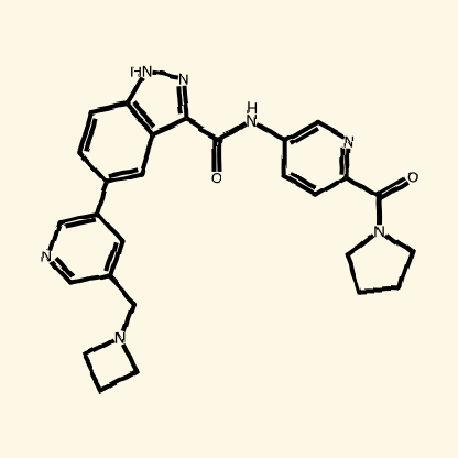 O=C(Nc1ccc(C(=O)N2CCCC2)nc1)c1n[nH]c2ccc(-c3cncc(CN4CCC4)c3)cc12